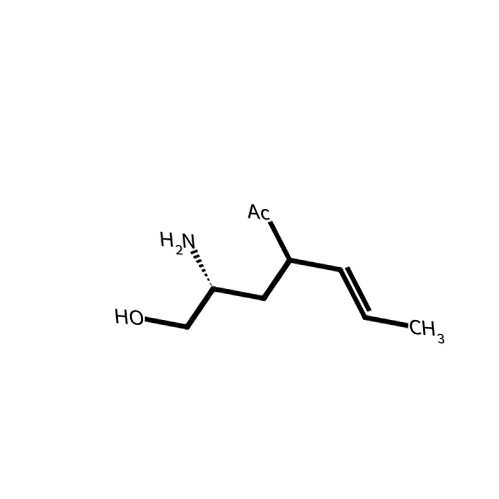 C/C=C/C(C[C@@H](N)CO)C(C)=O